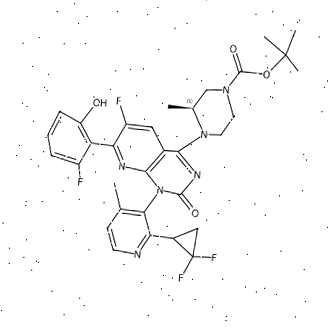 Cc1ccnc(C2CC2(F)F)c1-n1c(=O)nc(N2CCN(C(=O)OC(C)(C)C)C[C@@H]2C)c2cc(F)c(-c3c(O)cccc3F)nc21